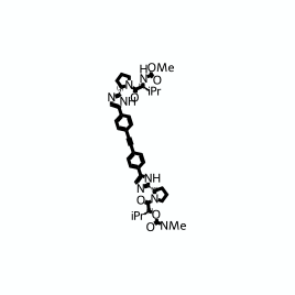 CNC(=O)O[C@H](C(=O)N1CCC[C@H]1c1ncc(-c2ccc(C#Cc3ccc(-c4cnc([C@@H]5CCCN5C(=O)[C@@H](NC(=O)OC)C(C)C)[nH]4)cc3)cc2)[nH]1)C(C)C